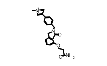 Cn1cc(-c2ccc(CN3Cc4cccc(OCCC(N)=O)c4C3=O)cc2)cn1